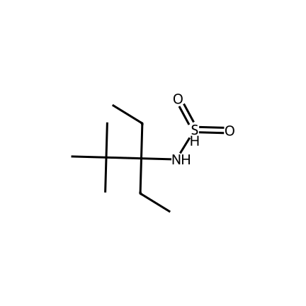 CCC(CC)(N[SH](=O)=O)C(C)(C)C